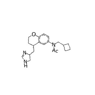 CC(=O)N(CC1CCC1)c1ccc2c(c1)C(CC1CNC=N1)CCO2